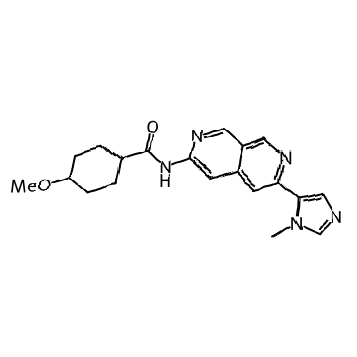 COC1CCC(C(=O)Nc2cc3cc(-c4cncn4C)ncc3cn2)CC1